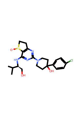 CC(C)[C@H](CO)Nc1nc(N2CCC(O)(c3ccc(Cl)cc3)CC2)nc2c1[S+]([O-])CC2